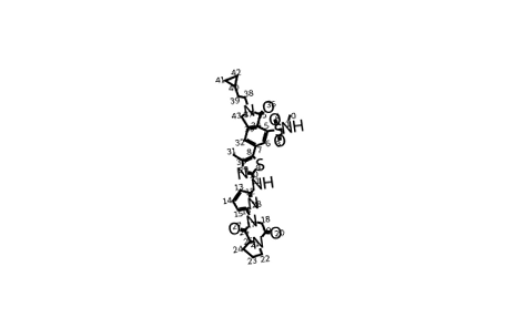 CNS(=O)(=O)c1cc(-c2sc(Nc3cccc(N4CC(=O)N5CCCC5C4=O)n3)nc2C)cc2c1C(=O)N(CCC1CC1)C2